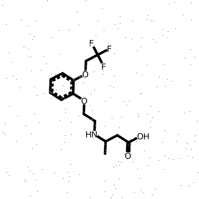 CC(CC(=O)O)NCCOc1ccccc1OCC(F)(F)F